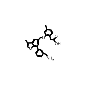 Cc1ccc(CC(=O)O)c(OCc2cc(-c3cccc(CN)c3)c3occ(C)c3c2)c1